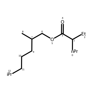 CCCC(CC)C(=O)OCC(C)CCCC(C)C